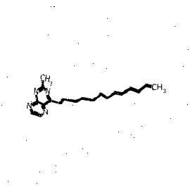 CCCCCCCCCCCCCc1nc(C)nc2nccnc12